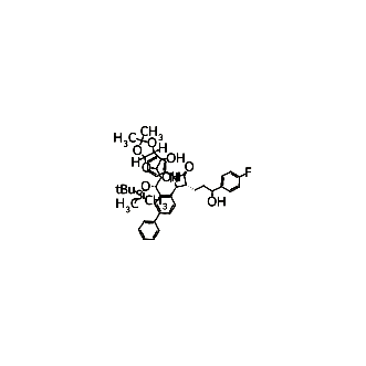 CC1(C)O[C@H]2O[C@H]([C@H](O)[C@@H](O[Si](C)(C)C(C)(C)C)c3cc(-c4ccccc4)ccc3[C@@H]3[C@@H](CC[C@H](O)c4ccc(F)cc4)C(=O)N3c3ccccc3)[C@H](O)[C@H]2O1